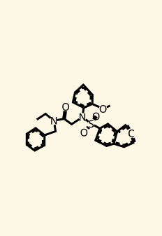 CCN(Cc1ccccc1)C(=O)CN(c1ccccc1OC)S(=O)(=O)c1ccc2ccccc2c1